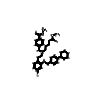 COC(=O)CCCCN(CCc1ccc(F)cc1OCc1ccc(C2CCCCC2)cc1)Cc1ccc(C(=O)OC)cc1